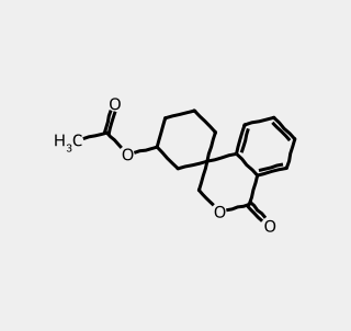 CC(=O)OC1CCCC2(COC(=O)c3ccccc32)C1